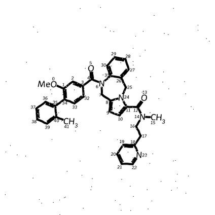 COc1cc(C(=O)N2Cc3ccc(C(=O)N(C)CCc4ccccn4)n3Cc3ccccc32)ccc1-c1ccccc1C